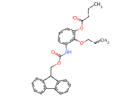 C=CCOc1c(NC(=O)OCC2c3ccccc3-c3ccccc32)cccc1OC(=O)CCC